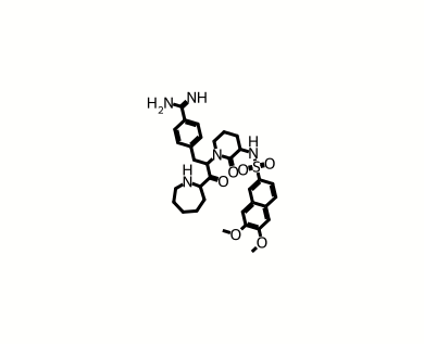 COc1cc2ccc(S(=O)(=O)NC3CCCN(C(Cc4ccc(C(=N)N)cc4)C(=O)C4CCCCCN4)C3=O)cc2cc1OC